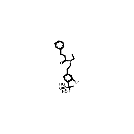 CCN(CCc1ccc(C(F)(F)P(=O)(O)O)c(Br)c1)C(=O)CCc1ccccc1